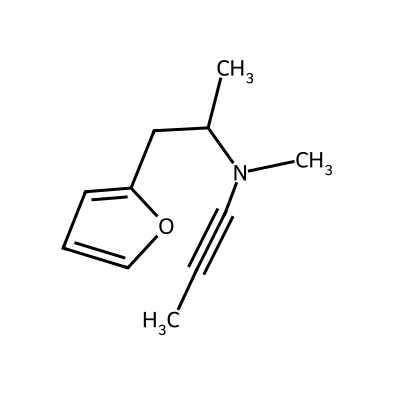 CC#CN(C)C(C)Cc1ccco1